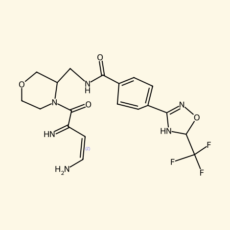 N=C(/C=C\N)C(=O)N1CCOCC1CNC(=O)c1ccc(C2=NOC(C(F)(F)F)N2)cc1